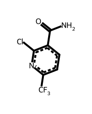 NC(=O)c1ccc(C(F)(F)F)nc1Cl